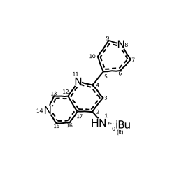 CC[C@@H](C)Nc1cc(-c2ccncc2)nc2cnccc12